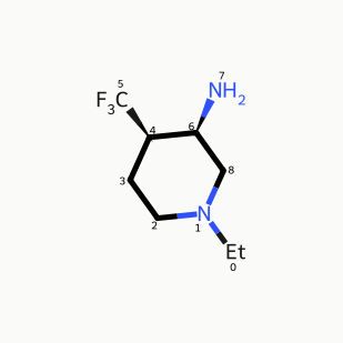 CCN1CC[C@@H](C(F)(F)F)[C@@H](N)C1